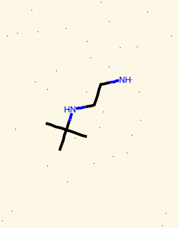 CC(C)(C)NCC[NH]